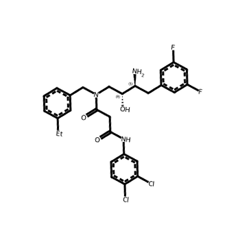 CCc1cccc(CN(C[C@@H](O)[C@@H](N)Cc2cc(F)cc(F)c2)C(=O)CC(=O)Nc2ccc(Cl)c(Cl)c2)c1